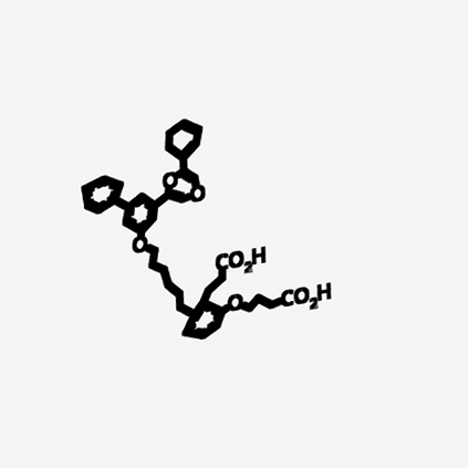 O=C(O)CCCOc1cccc(CCCCCCOc2cc(C3=COC=C(C4=CC=CCC4)O3)cc(-c3ccccc3)c2)c1CCC(=O)O